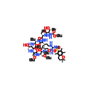 CC[C@H](C)[C@H](NC(=O)[C@@H](CCCNC(=N)NS(=O)(=O)c1c(C)c(C)c2c(c1C)CCC(C)(C)O2)NC(=O)[C@H](CC(C)C)NC(=O)[C@@H](NC(=O)OC(C)(C)C)[C@H](O)C(C)C)C(=O)N[C@H](C(=O)NC(COC(C)(C)C)C(=O)N[C@@H](COC(C)(C)C)C(=O)N[C@@H](COC(C)(C)C)C(=O)O)[C@H](C)O